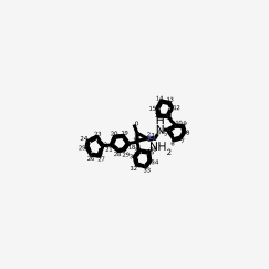 CC1/C(=C\Nc2ccccc2-c2ccccc2)C1(c1ccc(-c2ccccc2)cc1)c1ccccc1N